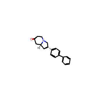 O=C1CCN2C[C@H](c3ccc(-c4ccccc4)cc3)C[C@H]2C1